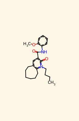 CCCCn1c2c(cc(C(=O)Nc3ccccc3OC)c1=O)CCCCCC2